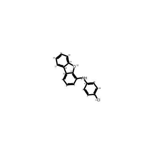 Clc1ccc(Nc2cccc3c2oc2ccccc23)cc1